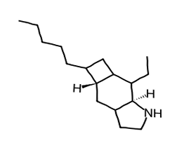 CCCCCC1CC2C(CC)[C@H]3NCCC3C[C@H]12